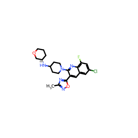 Cc1noc(-c2cc3cc(Cl)cc(F)c3nc2N2CCC(N[C@H]3CCCOC3)CC2)n1